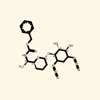 C[C@@H](NC(=O)OCc1ccccc1)[C@@H]1CCC[C@@H](O[C@@H]2C(N=[N+]=[N-])CC(N=[N+]=[N-])[C@H](O)[C@H]2O)O1